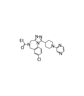 CCC(=O)N1Cc2cc(Cl)ccc2-n2c(nnc2C2CCN(c3cnccn3)CC2)C1